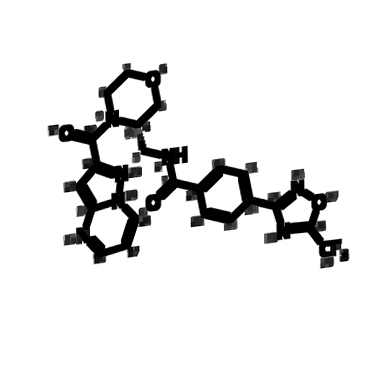 O=C(NC[C@H]1COCCN1C(=O)c1cc2ncccn2n1)c1ccc(-c2noc(C(F)(F)F)n2)cc1